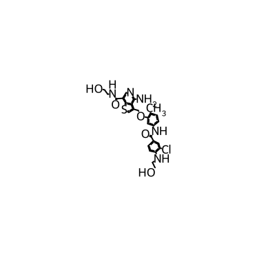 Cc1ccc(NC(=O)c2ccc(NCCO)c(Cl)c2)cc1OCc1csc2c(C(=O)NCCO)cnc(N)c12